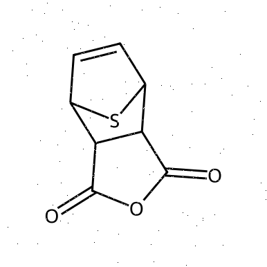 O=C1OC(=O)C2C3C=CC(S3)C12